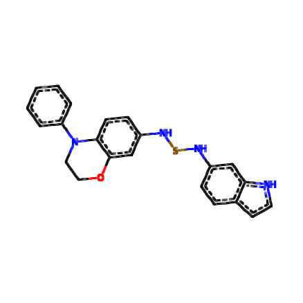 c1ccc(N2CCOc3cc(NSNc4ccc5cc[nH]c5c4)ccc32)cc1